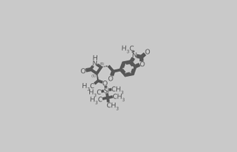 CC(O[Si](C)(C)C(C)(C)C)[C@H]1C(=O)N[C@@H]1CC(=O)c1ccc2oc(=O)n(C)c2c1